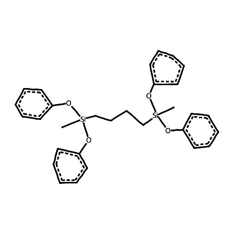 C[Si](CCCC[Si](C)(Oc1ccccc1)Oc1ccccc1)(Oc1ccccc1)Oc1ccccc1